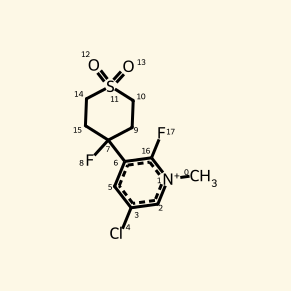 C[n+]1cc(Cl)cc(C2(F)CCS(=O)(=O)CC2)c1F